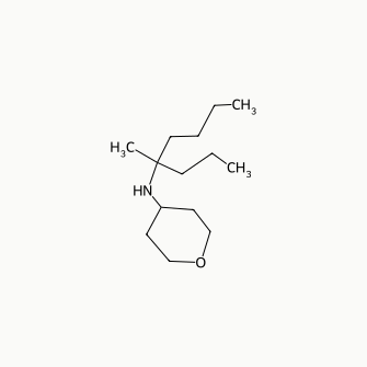 CCCCC(C)(CCC)NC1CCOCC1